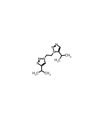 CC(C)c1cn(CCn2nncc2C(C)C)nn1